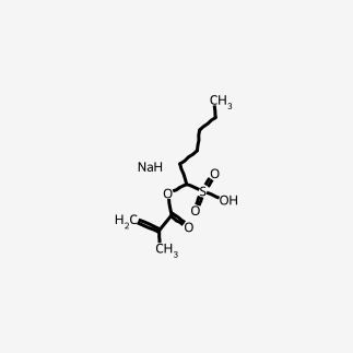 C=C(C)C(=O)OC(CCCCC)S(=O)(=O)O.[NaH]